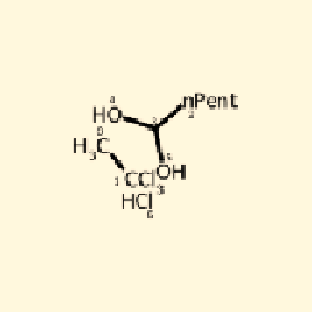 CC(Cl)(Cl)Cl.CCCCCC(O)O.Cl